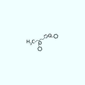 CCCC(CCC1C=CC(OCc2ccccc2)=C1)OCc1ccccc1